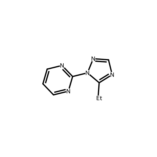 CCc1ncnn1-c1ncccn1